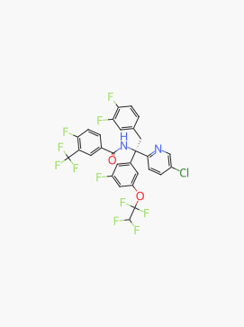 O=C(N[C@](Cc1ccc(F)c(F)c1)(c1cc(F)cc(OC(F)(F)C(F)F)c1)c1ccc(Cl)cn1)c1ccc(F)c(C(F)(F)F)c1